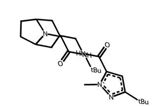 Cn1nc(C(C)(C)C)cc1C(=O)NCC1CC2CCC(C1)N2CC(=O)NC(C)(C)C